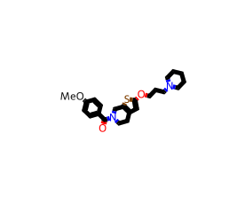 COc1ccc(C(=O)N2CCc3cc(OCCCN4CCCCC4)sc3C2)cc1